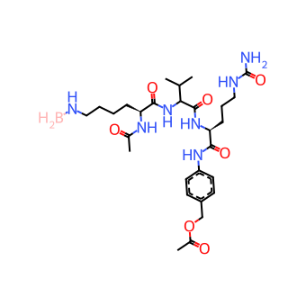 BNCCCC[C@H](NC(C)=O)C(=O)NC(C(=O)N[C@@H](CCCNC(N)=O)C(=O)Nc1ccc(COC(C)=O)cc1)C(C)C